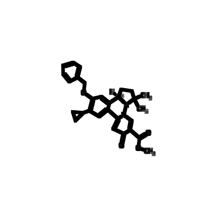 COC(=O)c1cn2c(cc1=O)-c1cc(C3CC3)c(OCc3ccccc3)cc1[C@H]1CCC(C)(C)N12